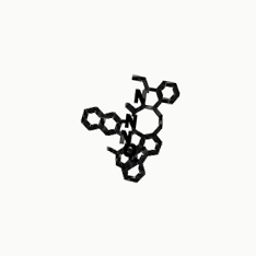 C=CC1=NC2C(=C)N3c4cc5ccccc5cc4N(c4c(C)cccc4C)C3c3c(ccc4c3oc3ccccc34)CCC2c2ccccc21